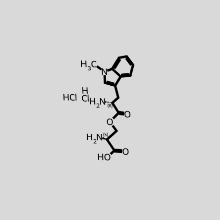 Cl.Cl.Cn1cc(C[C@@H](N)C(=O)OC[C@H](N)C(=O)O)c2ccccc21